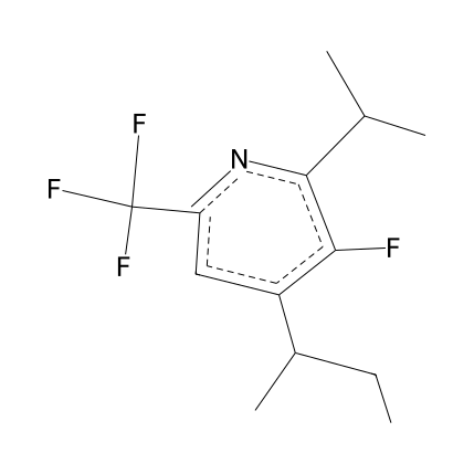 CCC(C)c1cc(C(F)(F)F)nc(C(C)C)c1F